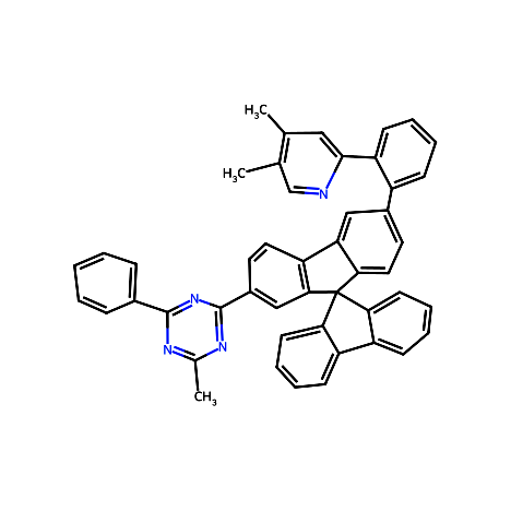 Cc1nc(-c2ccccc2)nc(-c2ccc3c(c2)C2(c4ccccc4-c4ccccc42)c2ccc(-c4ccccc4-c4cc(C)c(C)cn4)cc2-3)n1